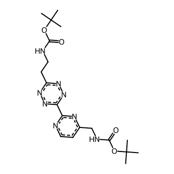 CC(C)(C)OC(=O)NCCc1nnc(-c2nccc(CNC(=O)OC(C)(C)C)n2)nn1